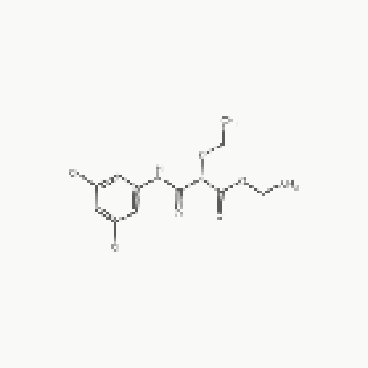 CCOC(=O)C(OCC)C(=O)Nc1cc(Cl)cc(Cl)c1